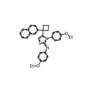 CCOc1ccc(N=c2scc(C3(c4ccc5ccccc5c4)CCC3)n2-c2ccc(OCC)cc2)cc1